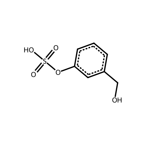 O=S(=O)(O)Oc1cccc(CO)c1